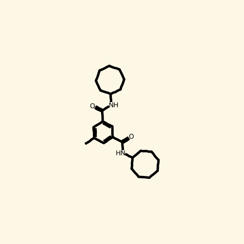 Cc1cc(C(=O)NC2CCCCCCC2)cc(C(=O)NC2CCCCCCC2)c1